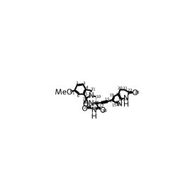 COc1ccc2c(c1)C(=O)N(C[C@@]1(C#Cc3cnc4c(c3)CCC(=O)N4)NC(=O)NC1=O)C2